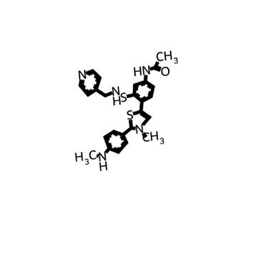 CNc1ccc(C2SC(c3ccc(NC(C)=O)cc3SNCc3ccncc3)=CN2C)cc1